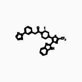 C[C@@H]1CN(c2sc(C(F)(F)F)nc2-c2nc3ccccc3[nH]2)CCN1C(=O)Cc1cccc(-n2nccn2)c1